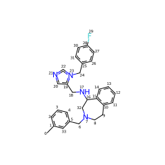 Cc1cccc(CN2CCc3ccccc3C(NCc3cncn3Cc3ccc(F)cc3)C2)c1